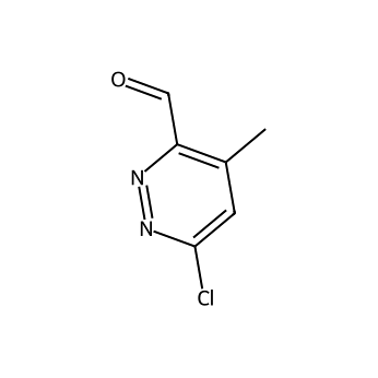 Cc1cc(Cl)nnc1C=O